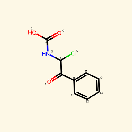 O=C(O)NC(Cl)C(=O)c1ccccc1